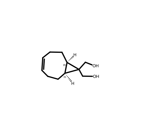 OCC1(CO)[C@@H]2CCC=CCC[C@@H]21